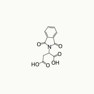 O=C(O)CC(C(=O)O)N1C(=O)c2ccccc2C1=O